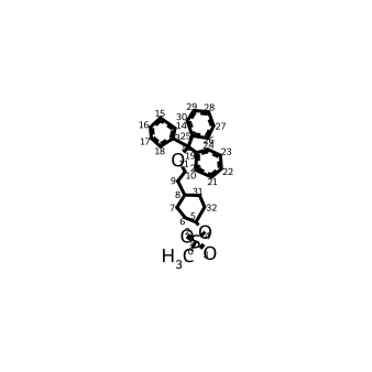 CS(=O)(=O)OC1CCC(CCOC(c2ccccc2)(c2ccccc2)c2ccccc2)CC1